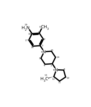 Cc1cc(N2CCC(N3CCC[C@@H]3C)CC2)ccc1N